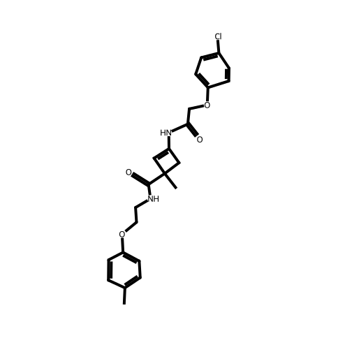 Cc1ccc(OCCNC(=O)C2(C)C=C(NC(=O)COc3ccc(Cl)cc3)C2)cc1